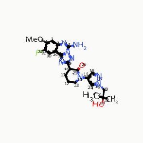 COc1cc2nc(N)n3nc(C4CCCN(c5cnn(CC(C)(C)O)c5)C4=O)nc3c2cc1F